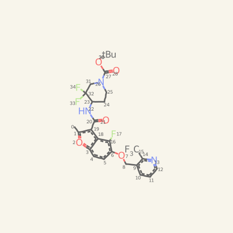 Cc1oc2ccc(OCc3cccnc3C(F)(F)F)c(F)c2c1C(=O)NC1CCN(C(=O)OC(C)(C)C)CC1(F)F